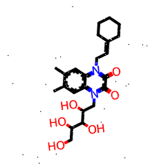 Cc1cc2c(cc1C)n(CC(O)C(O)C(O)CO)c(=O)c(=O)n2CC=C1CCCCC1